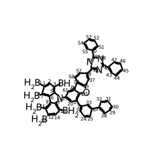 Bc1cc(B)c2c(c1B)c1c(B)c(B)cc(B)c1n2-c1cc(-c2cccc(-c3ccccc3)c2)c2oc3cc(-c4nc(-c5ccccc5)nc(-c5ccccc5)n4)ccc3c2c1